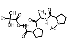 CCC(O)(O)C(=O)ONC(=O)C1CCCN1C(=O)C(C)NC(=O)C1CCCN1C(C)=O